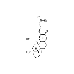 CCN(CC)CCOC1=C[C@@]2(C)C(CC[C@H]3[C@@H]4CCC[C@@]4(C)CC[C@@H]32)CC1=O.Cl